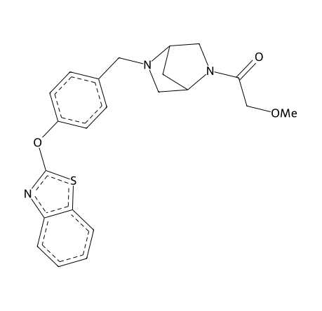 COCC(=O)N1CC2CC1CN2Cc1ccc(Oc2nc3ccccc3s2)cc1